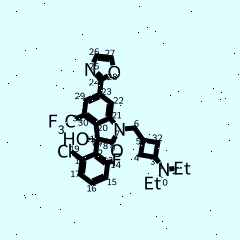 CCN(CC)C1CC(CN2C(=O)[C@@](O)(c3c(F)cccc3Cl)c3c2cc(-c2ncco2)cc3C(F)(F)F)C1